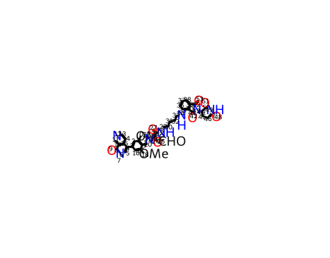 COc1cc(-c2cn(C)c(=O)c3cnccc23)cc(OC)c1CN(C)C(OC=O)C(=O)NCCCCCNc1cccc2c1C(=O)N(C1CCC(=O)NC1=O)C2=O